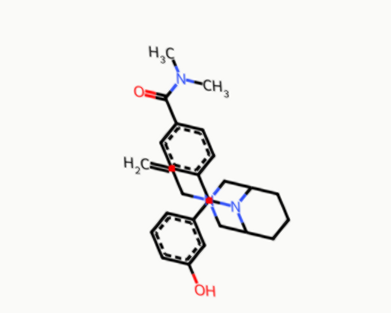 C=CCN1CC2CCCC(C1)N2C(c1ccc(C(=O)N(C)C)cc1)c1cccc(O)c1